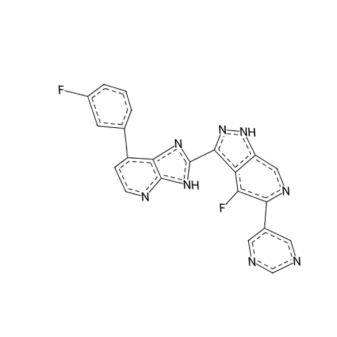 Fc1cccc(-c2ccnc3[nH]c(-c4n[nH]c5cnc(-c6cncnc6)c(F)c45)nc23)c1